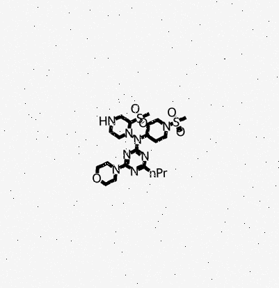 CCCc1nc(N2CCOCC2)nc(N(C2CCN(S(C)(=O)=O)CC2)N2CCNCC2S(C)(=O)=O)n1